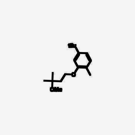 COC(C)(C)CCOc1cc(C(C)(C)C)ccc1C